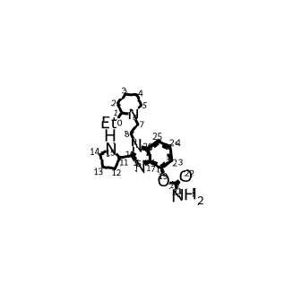 CCC1CCCCN1CCn1c(C2CCCN2)nc2c(OC(N)=O)cccc21